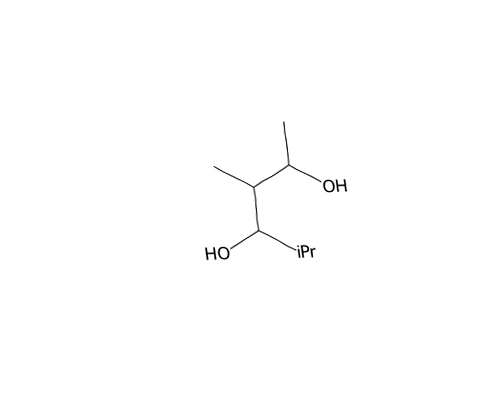 CC(C)C(O)C(C)C(C)O